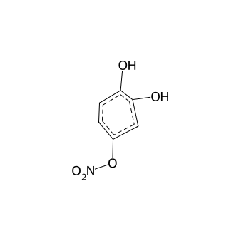 O=[N+]([O-])Oc1ccc(O)c(O)c1